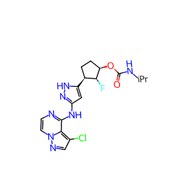 CC(C)NC(=O)O[C@@H]1CC[C@H](c2cc(Nc3nccn4ncc(Cl)c34)n[nH]2)[C@@H]1F